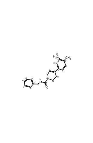 Cc1ccc(C2=CCN(C(=O)OCc3ccccc3)CC2)nc1C